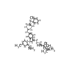 Cc1ccc(-c2cn(CCCNC(=O)OC(C)(C)C)c3ccc(CC4CCN(Cc5ccccc5Cl)CC4)cc23)c(CN)c1